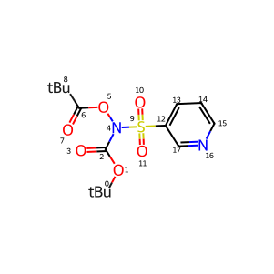 CC(C)(C)OC(=O)N(OC(=O)C(C)(C)C)S(=O)(=O)c1cccnc1